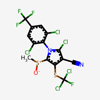 C[S+]([O-])c1c(SC(F)(Cl)Cl)c(C#N)c(Cl)n1-c1c(Cl)cc(C(F)(F)F)cc1Cl